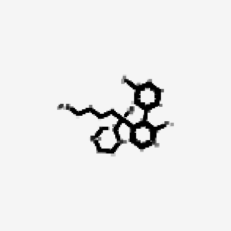 COCCCC[C@@](O)(c1ccnc(Cl)c1-c1cccc(C(C)C)c1)[C@H]1CNCCO1